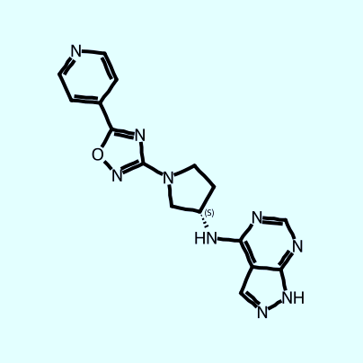 c1cc(-c2nc(N3CC[C@H](Nc4ncnc5[nH]ncc45)C3)no2)ccn1